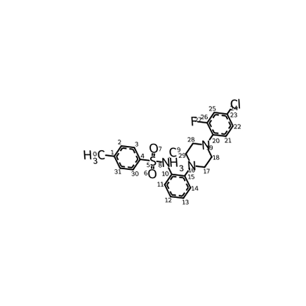 Cc1ccc(S(=O)(=O)N(C)c2ccccc2N2CCN(c3ccc(Cl)cc3F)CC2)cc1